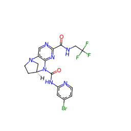 O=C(NCC(F)(F)F)c1ncc2c(n1)N(C(=O)Nc1cc(Br)ccn1)[C@H]1CCN2C1